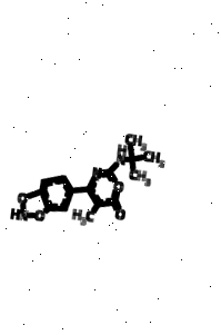 Cc1c(-c2ccc3c(c2)ONO3)nc(NC(C)(C)C)oc1=O